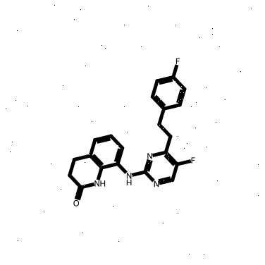 O=C1CCc2cccc(Nc3ncc(F)c(CCc4ccc(F)cc4)n3)c2N1